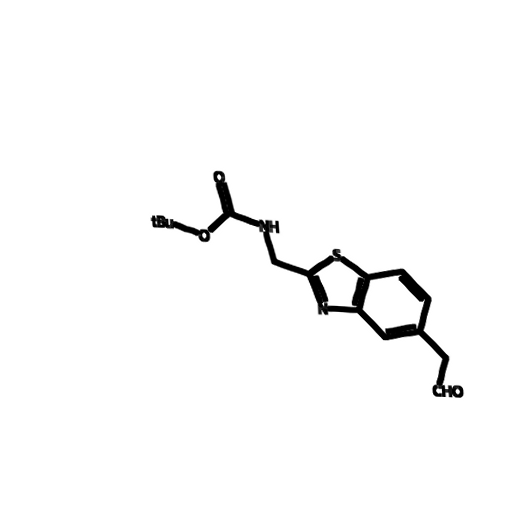 CC(C)(C)OC(=O)NCc1nc2cc(CC=O)ccc2s1